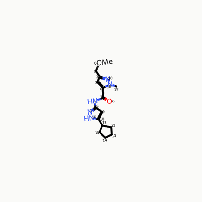 COCc1cc(C(=O)Nc2cc(C3CCCC3)[nH]n2)n(C)n1